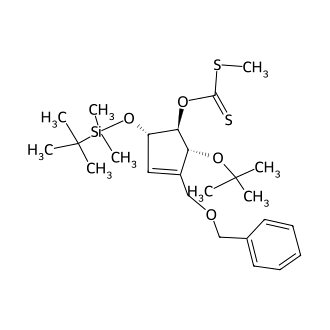 CSC(=S)O[C@@H]1[C@@H](O[Si](C)(C)C(C)(C)C)C=C(COCc2ccccc2)[C@H]1OC(C)(C)C